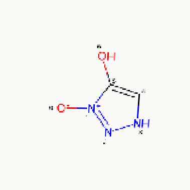 [O-][n+]1n[nH]cc1O